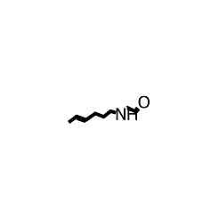 C/C=C/CCCNCC=O